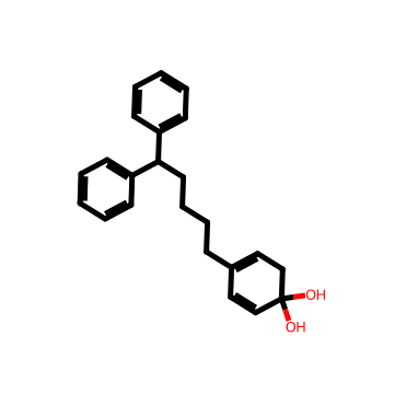 OC1(O)C=CC(CCCCC(c2ccccc2)c2ccccc2)=CC1